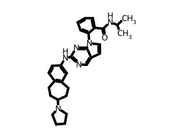 CC(C)NC(=O)c1ccccc1-n1ccc2cnc(Nc3ccc4c(c3)CCC(N3CCCC3)CC4)nc21